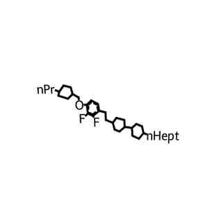 CCCCCCCC1CCC(C2CCC(CCc3ccc(OCC4CCC(CCC)CC4)c(F)c3F)CC2)CC1